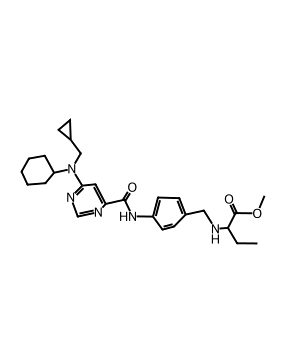 CCC(NCc1ccc(NC(=O)c2cc(N(CC3CC3)C3CCCCC3)ncn2)cc1)C(=O)OC